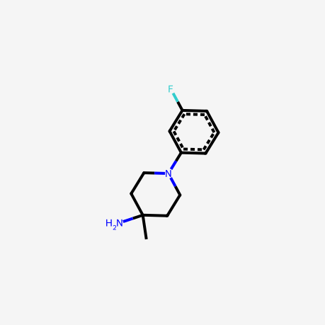 CC1(N)CCN(c2cccc(F)c2)CC1